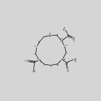 O=C(Cl)N1CCCCCCN(C(=O)Cl)CCN(C(=O)Cl)CCC1